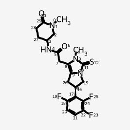 CN1CC(NC(=O)Cc2c3n(c(=S)n2C)C[C@@H](c2c(F)ccc(F)c2F)C3)CCC1=O